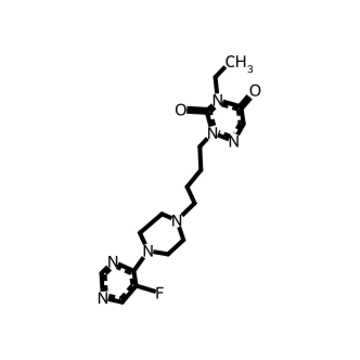 CCn1c(=O)cnn(CCCCN2CCN(c3ncncc3F)CC2)c1=O